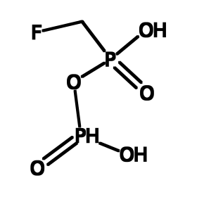 O=[PH](O)OP(=O)(O)CF